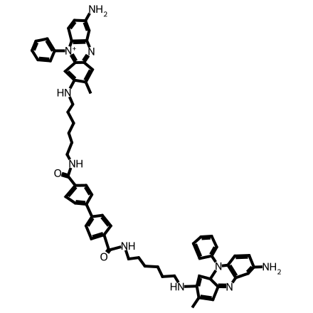 CC1=CC2=Nc3cc(N)ccc3N(c3ccccc3)C2C=C1NCCCCCCNC(=O)c1ccc(-c2ccc(C(=O)NCCCCCCNc3cc4c(cc3C)nc3cc(N)ccc3[n+]4-c3ccccc3)cc2)cc1